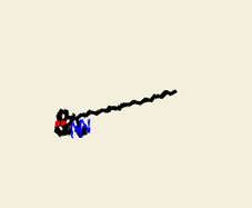 CCCCCCCCCCCCCCCCCCCC(c1nccn1CC)C(C)(Cc1ccccc1)c1ccccc1